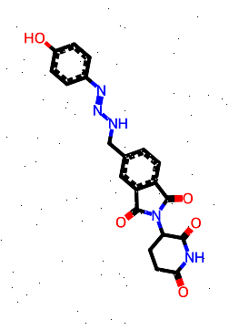 O=C1CCC(N2C(=O)c3ccc(CNN=Nc4ccc(O)cc4)cc3C2=O)C(=O)N1